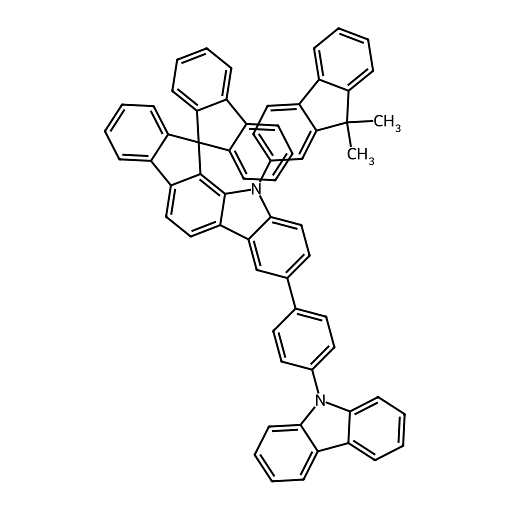 CC1(C)c2ccccc2-c2ccc(-n3c4ccc(-c5ccc(-n6c7ccccc7c7ccccc76)cc5)cc4c4ccc5c(c43)C3(c4ccccc4-c4ccccc43)c3ccccc3-5)cc21